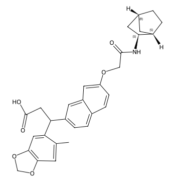 Cc1cc2c(cc1C(CC(=O)O)c1ccc3ccc(OCC(=O)N[C@H]4C[C@@H]5CC[C@H]4C5)cc3c1)OCO2